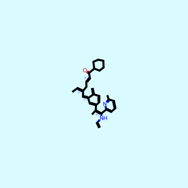 C=CN/C(=C(\C)c1ccc(=C)/c(=C\C(=C/C)C/C=C/C(=O)C2CCCCC2)c1)c1cccc(C)n1